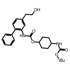 CC(C)(C)OC(=O)NC1CCC(OC(=O)Nc2cc(CCO)ccc2-c2ccccc2)CC1